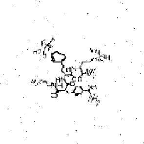 C=CCNC(=O)C(Cc1ccc(C(=N)N)cc1)C(=O)N[C@@H](CCc1ccccc1)C(=O)N[C@@H](CCCNC(=N)N)C(N)=O.O=C(O)C(F)(F)F